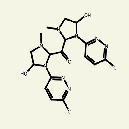 CN1CC(O)N(c2ccc(Cl)nn2)C1C(=O)C1N(C)CC(O)N1c1ccc(Cl)nn1